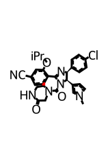 CC(C)Oc1cc(C#N)ccc1C1=N[C@@H](c2ccc(Cl)cc2)[C@@H](c2ccn(C)c2)N1C(=O)N1CCNC(=O)C1